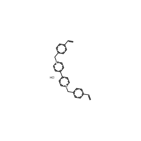 C=Cc1ccc(C[n+]2ccc(-c3cc[n+](Cc4ccc(C=C)cc4)cc3)cc2)cc1.Cl